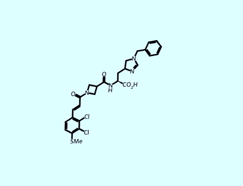 CSc1ccc(/C=C/C(=O)N2CC(C(=O)N[C@@H](CC3CN(Cc4ccccc4)C=N3)C(=O)O)C2)c(Cl)c1Cl